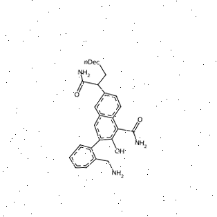 CCCCCCCCCCCC(C(N)=O)c1ccc2c(C(N)=O)c(O)c(-c3ccccc3CN)cc2c1